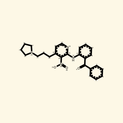 O=C(c1ccccc1)c1ccccc1Nc1nccc(CCCN2CCCC2)c1[N+](=O)[O-]